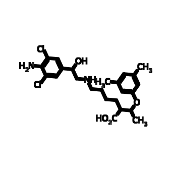 Cc1cc(C)cc(OC(C)C(CCCCNCC(O)c2cc(Cl)c(N)c(Cl)c2)C(=O)O)c1